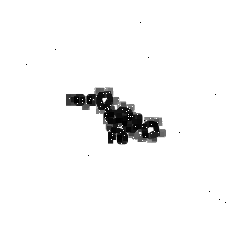 C[C@H](NC(=O)C(C)(F)F)[C@H](Oc1ccc2c(cnn2-c2cccc(C(=O)O)c2)c1)c1ccccc1